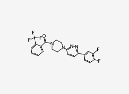 O=C(c1ccccc1C(F)(F)F)N1CCN(c2ccc(-c3ccc(F)c(F)c3)nn2)CC1